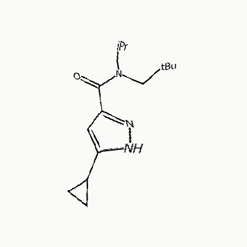 CC(C)N(CC(C)(C)C)C(=O)c1cc(C2CC2)[nH]n1